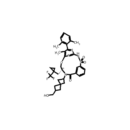 Cc1cccc(C)c1-c1nc2nc(c1C)OC[C@@H](CC1(C(F)(F)F)CC1)N(C1CC3(CC(CO)C3)C1)C(=O)c1cccc(c1)S(=O)(=O)N2